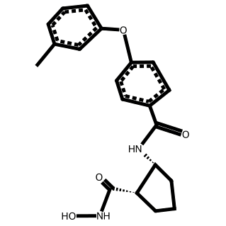 Cc1cccc(Oc2ccc(C(=O)N[C@@H]3CCC[C@@H]3C(=O)NO)cc2)c1